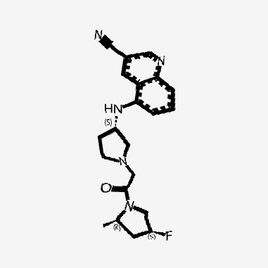 C[C@@H]1C[C@H](F)CN1C(=O)CN1CC[C@H](Nc2cccc3ncc(C#N)cc23)C1